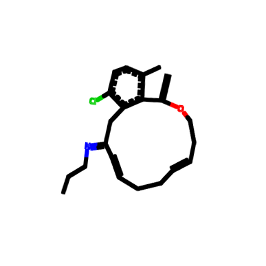 C=C1OCC/C=C/CC/C=C/C(=N\CCC)Cc2c(Cl)ccc(C)c21